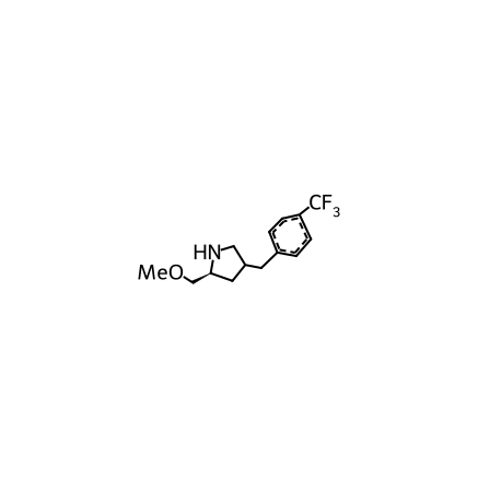 COC[C@@H]1CC(Cc2ccc(C(F)(F)F)cc2)CN1